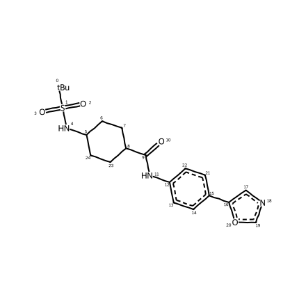 CC(C)(C)S(=O)(=O)NC1CCC(C(=O)Nc2ccc(-c3cnco3)cc2)CC1